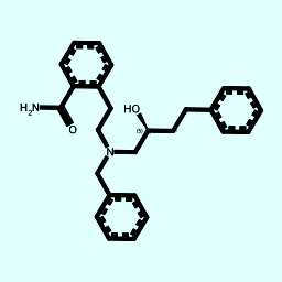 NC(=O)c1ccccc1CCN(Cc1ccccc1)C[C@@H](O)[CH]Cc1ccccc1